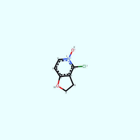 [O-][n+]1ccc2c(c1Cl)CCO2